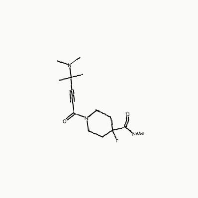 CNC(=O)C1(F)CCN(C(=O)C#CC(C)(C)N(C)C)CC1